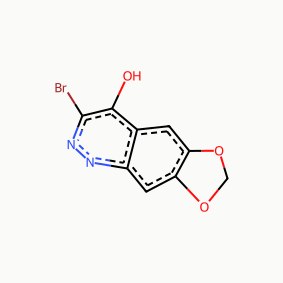 Oc1c(Br)nnc2cc3c(cc12)OCO3